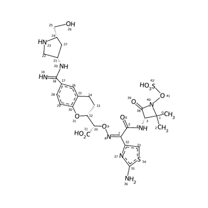 CC1(C)[C@H](NC(=O)/C(=N\O[C@H](C(=O)O)[C@H]2CCc3cc(C(=N)N[C@@H]4CN[C@H](CO)C4)ccc3O2)c2csc(N)n2)C(=O)N1OS(=O)(=O)O